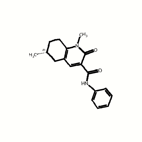 C[C@@H]1CCc2c(cc(C(=O)Nc3ccccc3)c(=O)n2C)C1